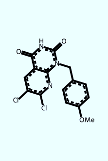 COc1ccc(Cn2c(=O)[nH]c(=O)c3cc(Cl)c(Cl)nc32)cc1